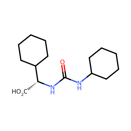 O=C(NC1CCCCC1)N[C@H](C(=O)O)C1CCCCC1